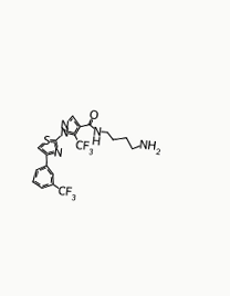 NCCCCNC(=O)c1cnn(-c2nc(-c3cccc(C(F)(F)F)c3)cs2)c1C(F)(F)F